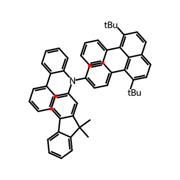 CC(C)(C)c1ccc2ccc(C(C)(C)C)c(-c3ccc(N(c4ccc5c(c4)C(C)(C)c4ccccc4-5)c4ccccc4-c4ccccc4)cc3)c2c1-c1ccccc1